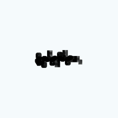 NCC(=O)NCC(=O)NCC(=O)NCCN1C(=O)C=CC1=O